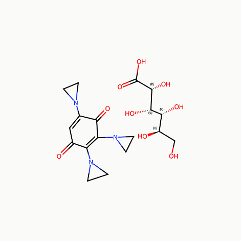 O=C(O)[C@H](O)[C@@H](O)[C@H](O)[C@H](O)CO.O=C1C=C(N2CC2)C(=O)C(N2CC2)=C1N1CC1